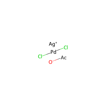 CC(=O)[O-].[Ag+].[Cl][Pd][Cl]